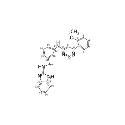 COc1ccccc1-c1cc(Nc2cccc(CNc3nc4ccccc4[nH]3)c2)ncn1